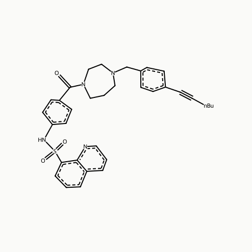 CCCCC#Cc1ccc(CN2CCCN(C(=O)c3ccc(NS(=O)(=O)c4cccc5cccnc45)cc3)CC2)cc1